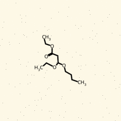 CCCCO[C](CC(=O)OCC)OCC